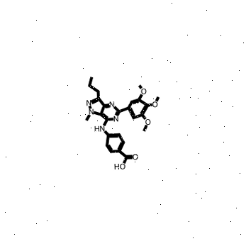 CCCc1nn(C)c2c(Nc3ccc(C(=O)O)cc3)nc(-c3cc(OC)c(OC)c(OC)c3)nc12